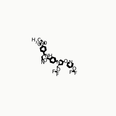 CCS(=O)(=O)c1ccc([C@H](CC#N)NC(=O)c2ccc(N3C[C@@H](Oc4ccc(OC(F)F)cn4)C[C@H]3COC(F)F)cc2)cc1